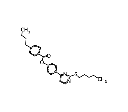 CCCCCSc1nccc(-c2ccc(OC(=O)c3ccc(CCCC)cc3)cc2)n1